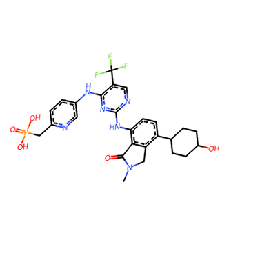 CN1Cc2c(C3CCC(O)CC3)ccc(Nc3ncc(C(F)(F)F)c(Nc4ccc(CP(=O)(O)O)nc4)n3)c2C1=O